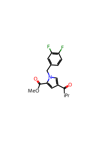 COC(=O)c1cc(C(=O)C(C)C)cn1Cc1ccc(F)c(F)c1